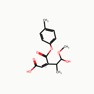 COC(O)C(C)/C(=C/C(=O)O)C(=O)Oc1ccc(C)cc1